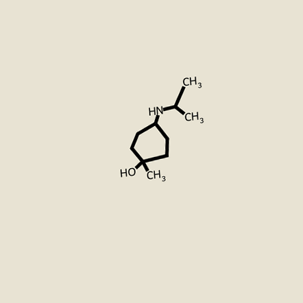 CC(C)NC1CCC(C)(O)CC1